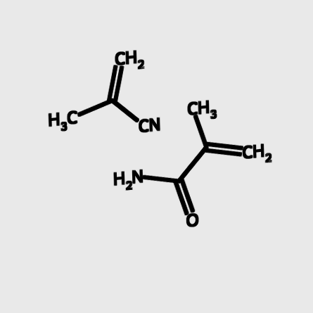 C=C(C)C#N.C=C(C)C(N)=O